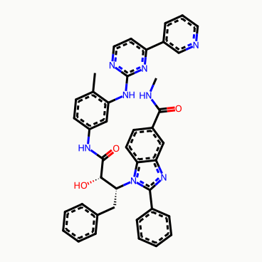 CNC(=O)c1ccc2c(c1)nc(-c1ccccc1)n2[C@H](Cc1ccccc1)[C@H](O)C(=O)Nc1ccc(C)c(Nc2nccc(-c3cccnc3)n2)c1